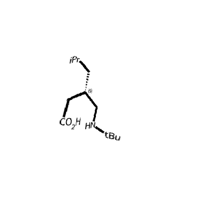 CC(C)C[C@H](CNC(C)(C)C)CC(=O)O